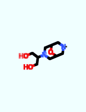 OCC(CO)N1CC2C[N]CC(C1)O2